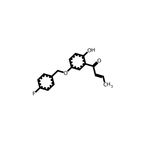 C/C=C/C(=O)c1cc(OCc2ccc(F)cc2)ccc1O